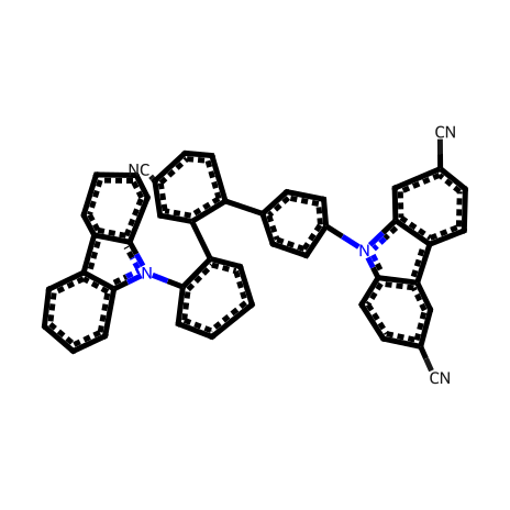 N#Cc1ccc(-c2ccc(-n3c4ccc(C#N)cc4c4ccc(C#N)cc43)cc2)c(-c2ccccc2-n2c3ccccc3c3ccccc32)c1